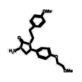 COCCOc1ccc(C2CN(N)C(=O)N2CCc2ccc(OC)cc2)cc1